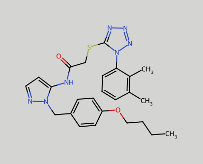 CCCCOc1ccc(Cn2nccc2NC(=O)CSc2nnnn2-c2cccc(C)c2C)cc1